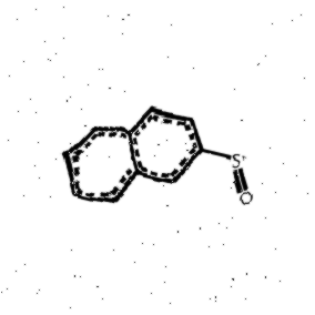 O=[S+]c1ccc2ccccc2c1